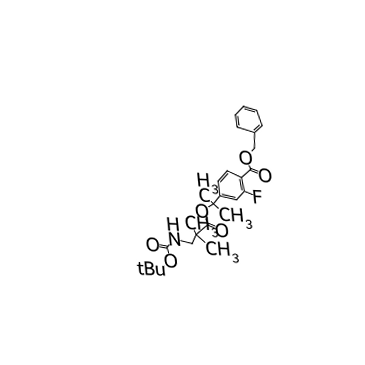 CC(C)(C)OC(=O)NCC(C)(C)C(=O)OC(C)(C)c1ccc(C(=O)OCc2ccccc2)c(F)c1